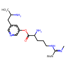 C/N=C(/NC)NCCCC(N)C(=O)Oc1cncc(CC(N)C(=O)O)c1